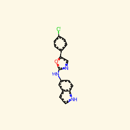 Clc1ccc(-c2cnc(Nc3ccc4[nH]ccc4c3)o2)cc1